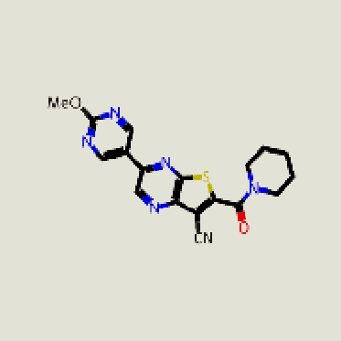 COc1ncc(-c2cnc3c(C#N)c(C(=O)N4CCCCC4)sc3n2)cn1